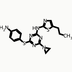 CCCc1cnc(Nc2nc(Sc3ccc(N)cc3)nc(N3CC3)n2)s1